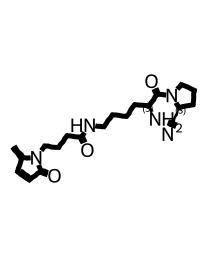 C=C1C=CC(=O)N1CCCC(=O)NCCCC[C@H](N)C(=O)N1CCC[C@H]1C#N